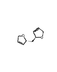 C1=C[C@H](C[C@@H]2C=CCO2)OC1